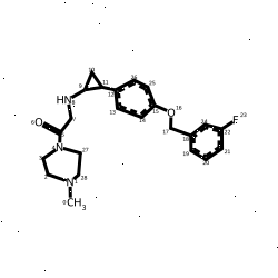 CN1CCN(C(=O)CNC2CC2c2ccc(OCc3cccc(F)c3)cc2)CC1